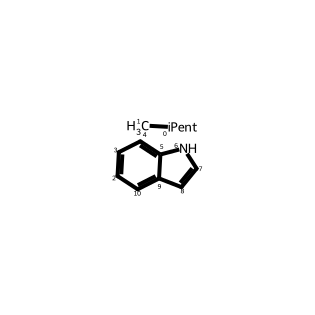 CCCC(C)C.c1ccc2[nH]ccc2c1